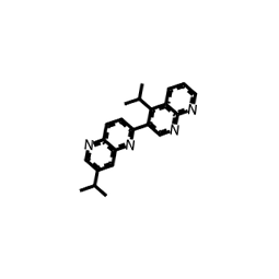 CC(C)c1cnc2ccc(-c3cnc4ncccc4c3C(C)C)nc2c1